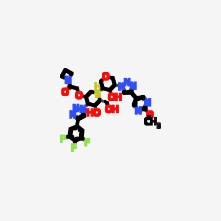 COc1ncc(-c2cn([C@H]3COC[C@@H]([SH]4C[C@H](OCC(=O)N5CCC5)[C@@H](n5cc(-c6cc(F)c(F)c(F)c6)nn5)[C@@H](O)[C@H]4CO)[C@@H]3O)nn2)cn1